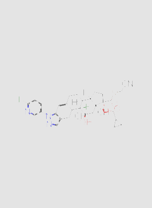 CC12CC(O)[C@@]3(F)[C@@H](CCC4=Cc5c(cnn5-c5ccc(F)nc5)C[C@@]43C)[C@@H]1CC[C@]2(OC(=O)C1CC1)C(=O)SCC#N